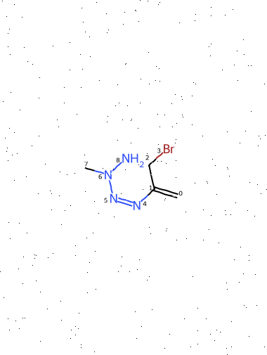 C=C(CBr)/N=N\N(C)N